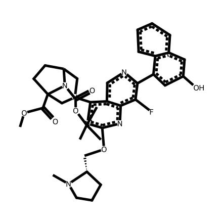 COC(=O)C12CCC(CN(c3nc(OC[C@@H]4CCCN4C)nc4c(F)c(-c5cc(O)cc6ccccc56)ncc34)C1)N2C(=O)OC(C)(C)C